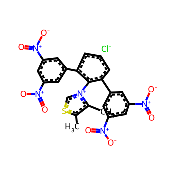 Cc1sc[n+](-c2c(-c3cc([N+](=O)[O-])cc([N+](=O)[O-])c3)cccc2-c2cc([N+](=O)[O-])cc([N+](=O)[O-])c2)c1C.[Cl-]